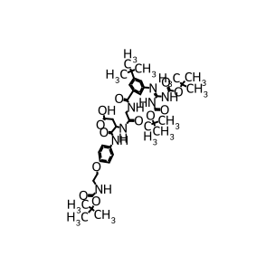 CC(C)(C)OC(=O)NCCOc1ccc(NC(=O)C(CC(=O)O)NC(=O)CNC(=O)c2cc(N=C(NC(=O)OC(C)(C)C)NC(=O)OC(C)(C)C)cc(C(C)(C)C)c2)cc1